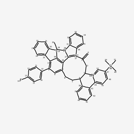 C=C1CC2C(CCc3cc(-c4ccc(F)cc4)c4c(sc5ccccc54)c3-c3n(CC)c4ccccc4[n+]31)c1ccccc1-c1ccc([Si](C)(C)C)c[n+]12